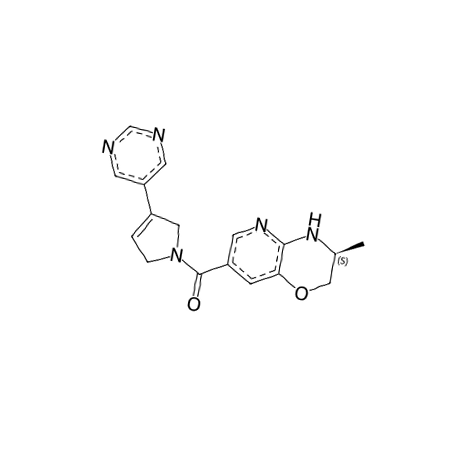 C[C@H]1COc2cc(C(=O)N3CC=C(c4cncnc4)C3)cnc2N1